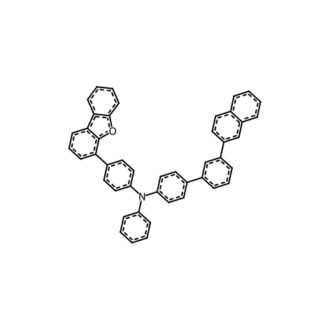 c1ccc(N(c2ccc(-c3cccc(-c4ccc5ccccc5c4)c3)cc2)c2ccc(-c3cccc4c3oc3ccccc34)cc2)cc1